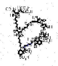 CCN1c2ccc(S(=O)(=O)O)cc2C(C)(C)C1/C=C/C=C/C=C1/N(CCCCCC(=O)NC(CSSCCC(=O)NCC#Cc2cn([C@H]3CC(O)[C@@H](COPOP(O)OP(O)O)O3)c(=O)nc2N)C(=O)NCCCCCC(=O)NC(CC(=O)O)C(=O)NC(CC(=O)O)C(=O)O)c2ccc(S(=O)(=O)O)cc2C1(C)C